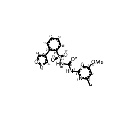 COc1cc(C)nc(NC(=O)NS(=O)(=O)c2ccccc2-c2cnoc2)n1